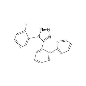 Fc1ccccc1-n1nnnc1-c1ccccc1-c1ccccc1